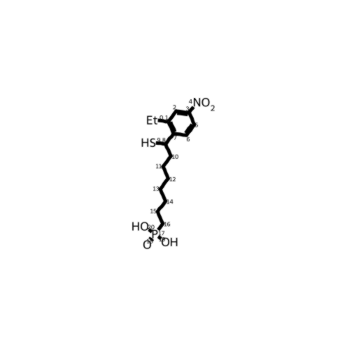 CCc1cc([N+](=O)[O-])ccc1C(S)CCCCCCCP(=O)(O)O